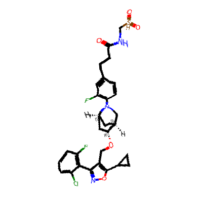 O=C(CCc1ccc(N2C[C@@H]3C[C@H]2C[C@H]3OCc2c(-c3c(F)cccc3Cl)noc2C2CC2)c(F)c1)NC[SH](=O)=O